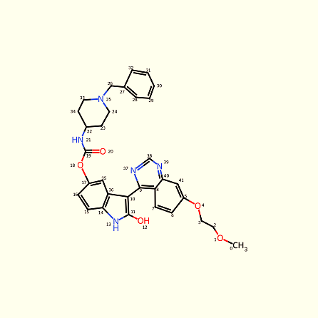 COCCOc1ccc2c(-c3c(O)[nH]c4ccc(OC(=O)NC5CCN(Cc6ccccc6)CC5)cc34)ncnc2c1